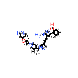 CC(C1CCN(C2CC(OC3CCNCC3)C2)CC1)n1cc(C#Cc2cc(-c3ccccc3O)nnc2N)cn1